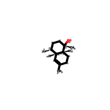 CC1=C[C@H]2[C@H](C(C)C)CC[C@@](C)(O)[C@H]2CC1